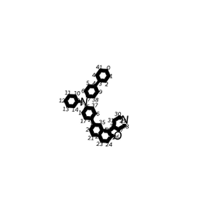 c1ccc(-c2ccc(N(c3ccccc3)c3ccc(-c4ccc5ccc6oc7cnccc7c6c5c4)cc3)cc2)cc1